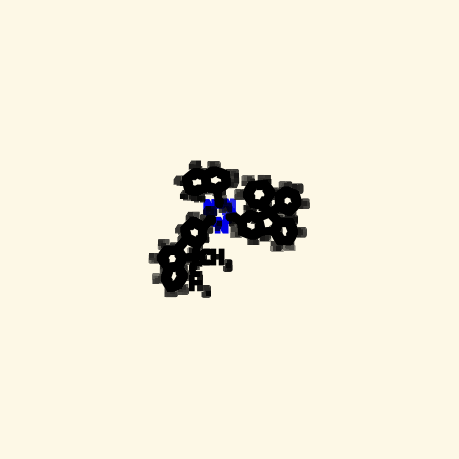 CC1(C)c2cc(-c3nc(-c4ccc5c(c4)C(c4ccccc4)(c4ccccc4)c4ccccc4-5)nc(-c4cccc5ccccc45)n3)ccc2-c2ccc3ccccc3c21